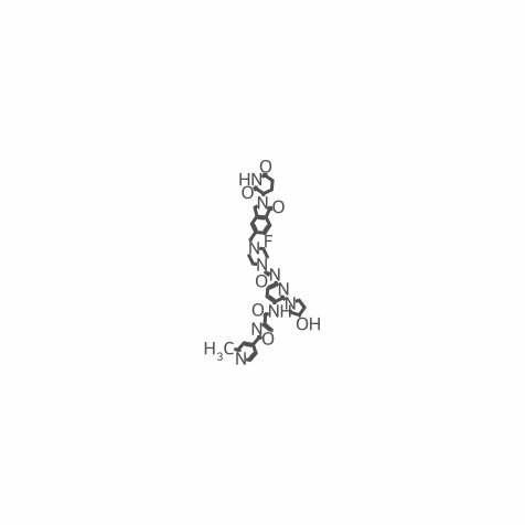 Cc1cc(-c2nc(C(=O)Nc3cc4oc(N5CCN(Cc6cc7c(cc6F)C(=O)N(C6CCC(=O)NC6=O)C7)CC5)nc4nc3N3CC[C@@H](O)C3)co2)ccn1